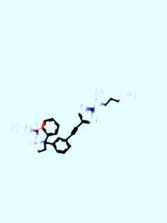 NC(=O)N1OCCC1(c1ccccc1)c1cccc(C#Cc2cnc(NCCCO)nc2)c1